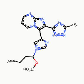 CNCCC(OC(=O)O)n1cnc(-c2c(-c3nc(C(F)(F)F)n[nH]3)nc3ncccn23)c1